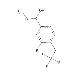 COC(O)c1ccc(CC(F)(F)F)c(F)c1